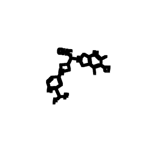 Cc1nc2c(c(C)c1Cl)CN([C@H](C=O)C1CN(c3ccnc(C(F)F)c3)C1)C2